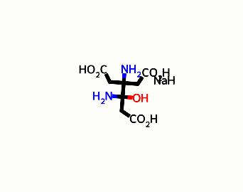 NC(O)(CC(=O)O)C(N)(CC(=O)O)CC(=O)O.[NaH]